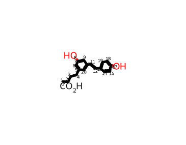 O=C(O)CCCCc1cc(O)cc(C=Cc2ccc(O)cc2)c1